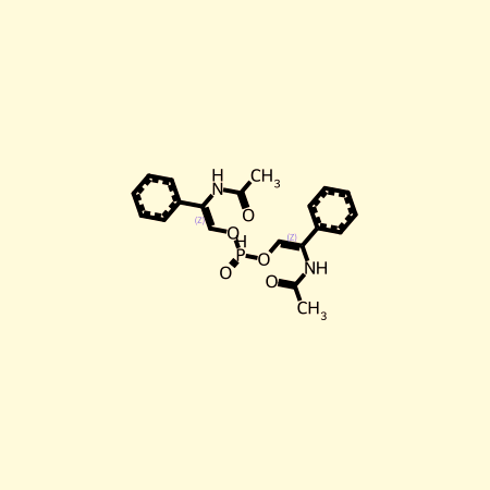 CC(=O)N/C(=C\O[PH](=O)O/C=C(\NC(C)=O)c1ccccc1)c1ccccc1